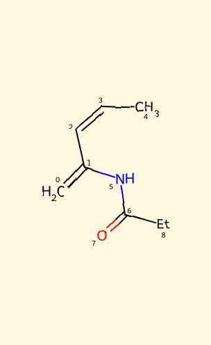 C=C(/C=C\C)NC(=O)CC